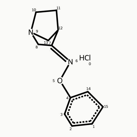 Cl.c1ccc(ON=C2CN3CCC2C3)cc1